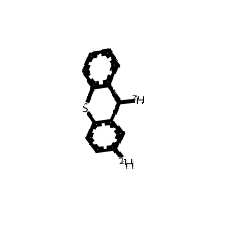 [2H]c1ccc2c(c1)C([2H])c1ccccc1S2